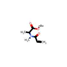 C=CC(=O)N(C)C(C)C(=O)OCCCC